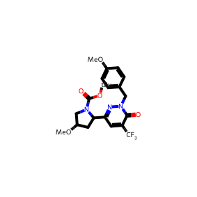 COc1ccc(Cn2nc(C3CC(OC)CN3C(=O)OC(C)(C)C)cc(C(F)(F)F)c2=O)cc1